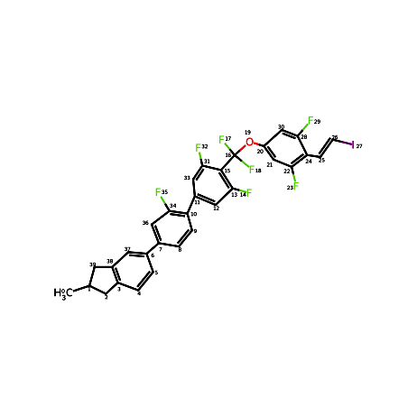 CC1Cc2ccc(-c3ccc(-c4cc(F)c(C(F)(F)Oc5cc(F)c(C=CI)c(F)c5)c(F)c4)c(F)c3)cc2C1